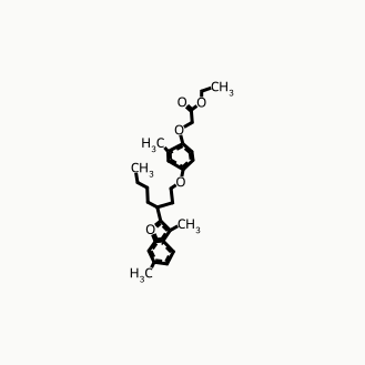 CCCCC(CCOc1ccc(OCC(=O)OCC)c(C)c1)c1oc2cc(C)ccc2c1C